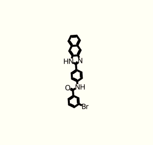 O=C(Nc1ccc(-c2nc3cc4ccccc4cc3[nH]2)cc1)c1cccc(Br)c1